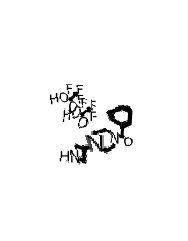 O=C(O)C(F)(F)F.O=C(O)C(F)(F)F.O=C(c1ccccc1)N1CCN(C2CNC2)CC1